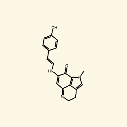 Cn1cc2c3c1C(=O)C(N/C=C/c1ccc(O)cc1)=CC3=NCC2